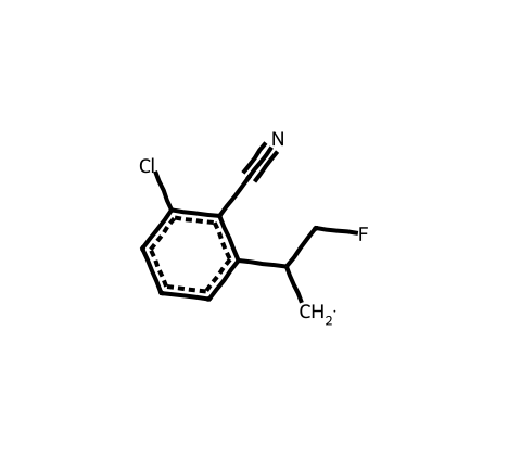 [CH2]C(CF)c1cccc(Cl)c1C#N